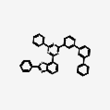 c1ccc(-c2cccc(-c3cccc(-c4nc(-c5ccccc5)nc(-c5cccc6nc(-c7ccccc7)sc56)n4)c3)c2)cc1